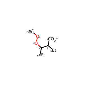 CCCCOOC(CCC)C(CC)C(=O)O